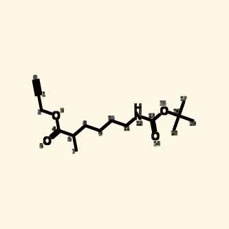 C#CCOC(=O)C(C)CCCCNC(=O)OC(C)(C)C